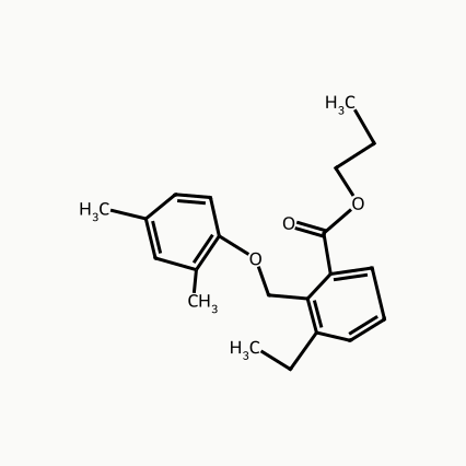 CCCOC(=O)c1cccc(CC)c1COc1ccc(C)cc1C